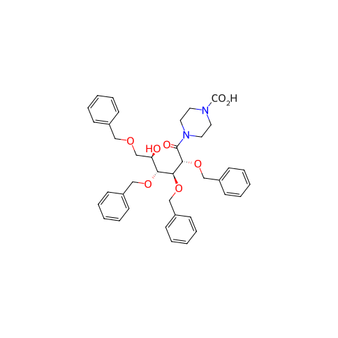 O=C(O)N1CCN(C(=O)[C@H](OCc2ccccc2)[C@@H](OCc2ccccc2)[C@H](OCc2ccccc2)[C@H](O)COCc2ccccc2)CC1